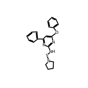 c1ccc(Oc2cc(-c3ccccc3)nc(NSN3CCCC3)n2)cc1